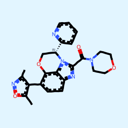 Cc1noc(C)c1-c1ccc2nc(C(=O)N3CCOCC3)n3c2c1OC[C@@H]3c1ccccn1